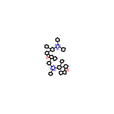 c1ccc(-c2nc(-c3ccccc3)nc(-c3ccc(-c4cccc5oc6c(-c7cccc(-c8nc(-c9ccccc9)nc(-c9ccc(-c%10cccc%11oc%12ccc%13ccccc%13c%12c%10%11)c(-c%10ccccc%10)c9)n8)c7)c7ccccc7cc6c45)c(-c4ccccc4)c3)n2)cc1